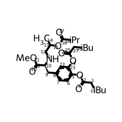 CCC(C)CC(=O)Oc1ccc(C[C@H](NCC(C)OC(=O)C(C)C)C(=O)OC)cc1OC(=O)CC(C)CC